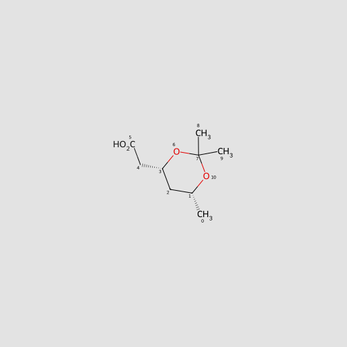 C[C@@H]1C[C@H](CC(=O)O)OC(C)(C)O1